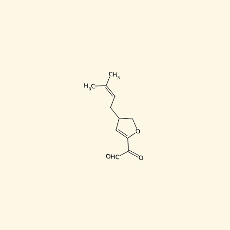 CC(C)=CCC1C=C(C(=O)C=O)OC1